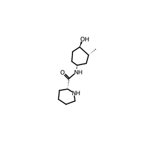 C[C@@H]1C[C@H](NC(=O)[C@H]2CCCCN2)CC[C@H]1O